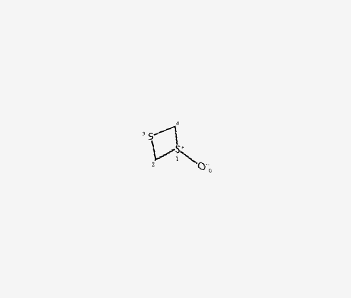 [O-][S+]1CSC1